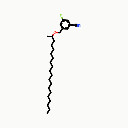 CCCCCCCCCCCCCCCCCC[C@@H](C)OCc1cc(F)cc(C#N)c1